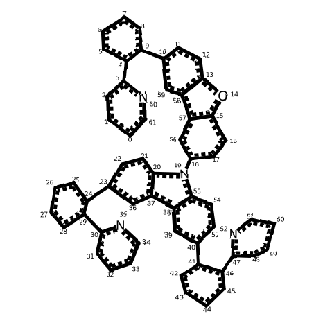 c1ccc(-c2ccccc2-c2ccc3oc4ccc(-n5c6ccc(-c7ccccc7-c7ccccn7)cc6c6cc(-c7ccccc7-c7ccccn7)ccc65)cc4c3c2)nc1